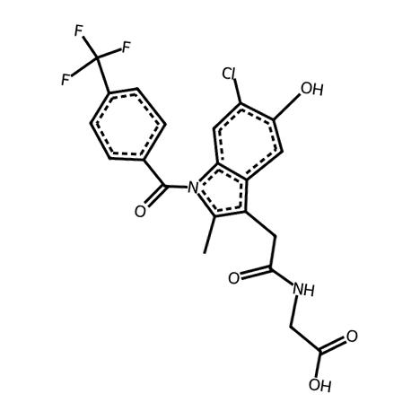 Cc1c(CC(=O)NCC(=O)O)c2cc(O)c(Cl)cc2n1C(=O)c1ccc(C(F)(F)F)cc1